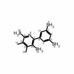 Bc1cc(B)cc(-c2nc(B)c(C)c(C)c2B)c1